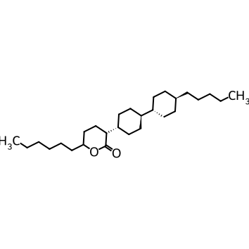 CCCCCCC1CCC([C@H]2CC[C@H]([C@H]3CC[C@H](CCCCC)CC3)CC2)C(=O)O1